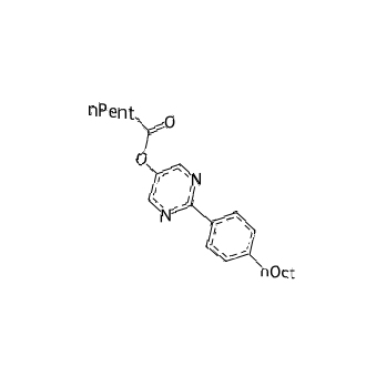 CCCCCCCCc1ccc(-c2ncc(OC(=O)CCCCC)cn2)cc1